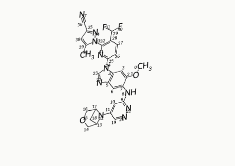 COc1cc2c(cc1Nc1cc(N3C4COCC3C4)cnn1)ncn2-c1ccc(C(F)F)c(-n2nc(C#N)cc2C)n1